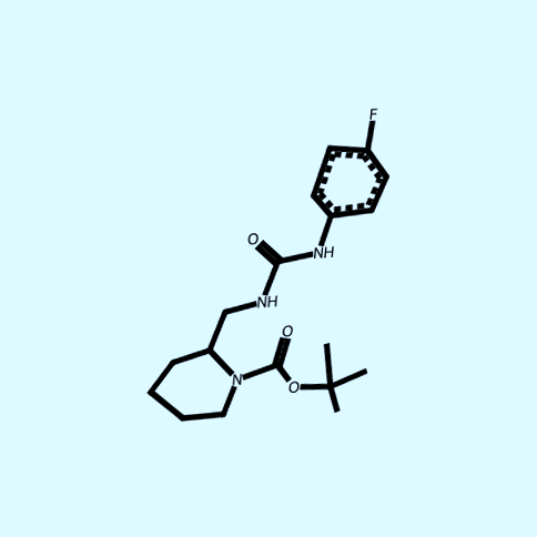 CC(C)(C)OC(=O)N1CCCCC1CNC(=O)Nc1ccc(F)cc1